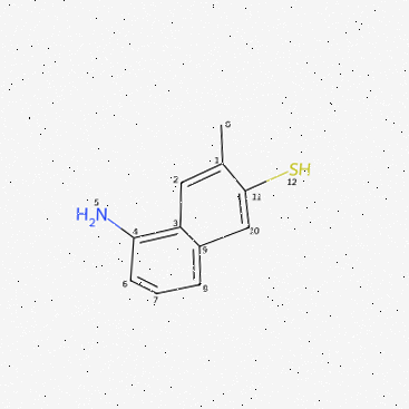 Cc1cc2c(N)cccc2cc1S